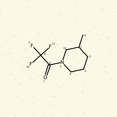 CC1CCCN(C(=O)C(F)(F)F)C1